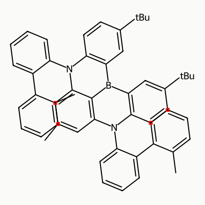 Cc1cc2c3c(c1)N(c1ccccc1-c1ccccc1C)c1ccc(C(C)(C)C)cc1B3c1cc(C(C)(C)C)ccc1N2c1ccccc1-c1ccccc1C